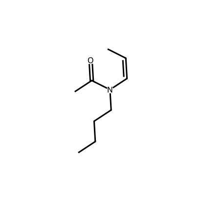 C/C=C\N(CCCC)C(C)=O